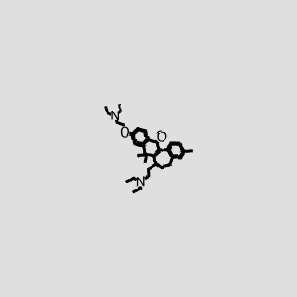 CCN(CC)CCOc1ccc2c(c1)C(C)(C)C1=C(C2=O)c2ccc(C)cc2CCC1CCN(CC)CC